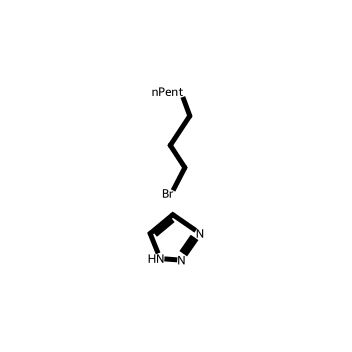 CCCCCCCCBr.c1c[nH]nn1